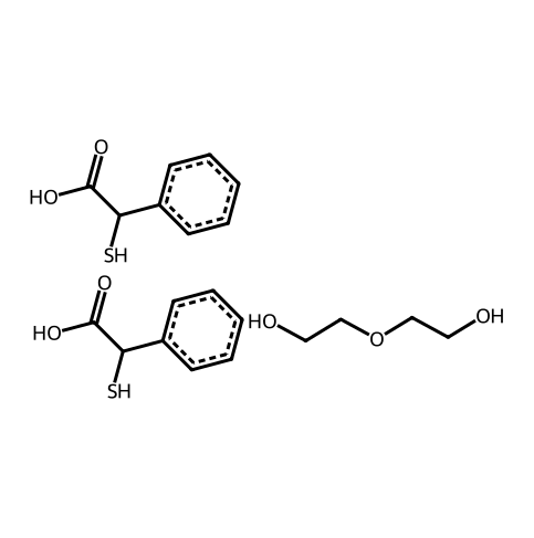 O=C(O)C(S)c1ccccc1.O=C(O)C(S)c1ccccc1.OCCOCCO